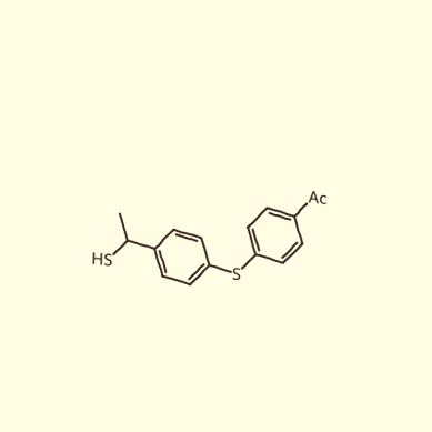 CC(=O)c1ccc(Sc2ccc(C(C)S)cc2)cc1